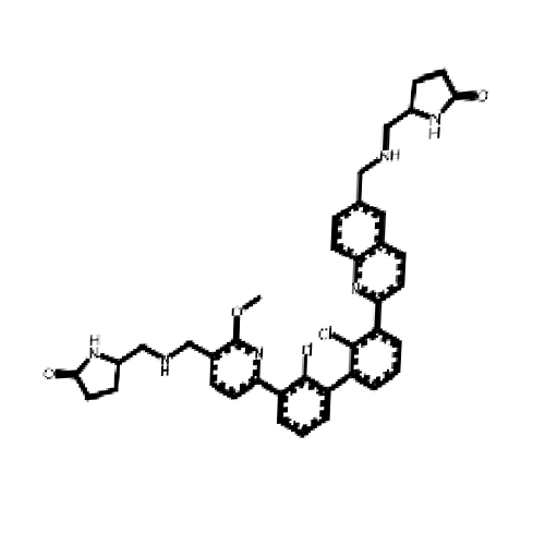 COc1nc(-c2cccc(-c3cccc(-c4ccc5cc(CNCC6CCC(=O)N6)ccc5n4)c3Cl)c2Cl)ccc1CNCC1CCC(=O)N1